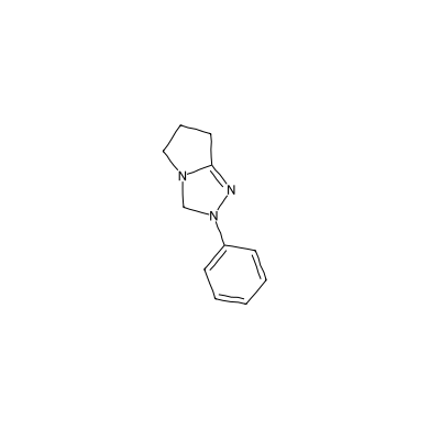 c1ccc(N2CN3CCCC3=N2)cc1